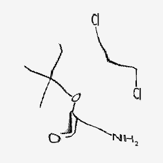 CC(C)(C)OC(N)=O.ClCCCl